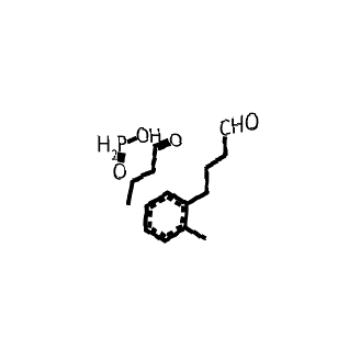 CCCC=O.Cc1ccccc1CCCC=O.O=[PH2]O